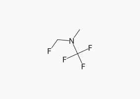 CN(CF)C(F)(F)F